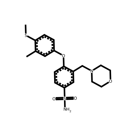 CSc1ccc(Oc2ccc(S(N)(=O)=O)cc2CN2CCOCC2)cc1C